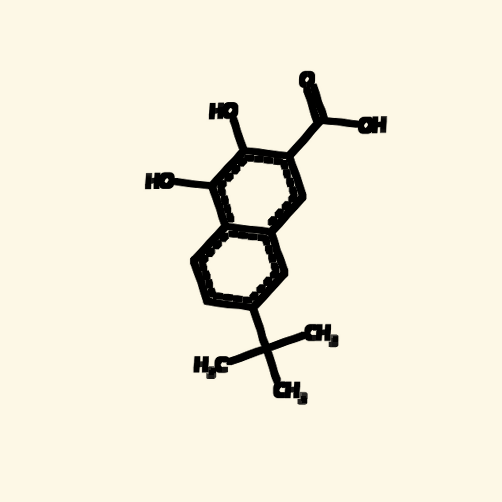 CC(C)(C)c1ccc2c(O)c(O)c(C(=O)O)cc2c1